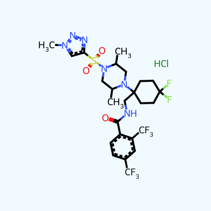 CC1CN(S(=O)(=O)c2cn(C)nn2)C(C)CN1C1(CNC(=O)c2ccc(C(F)(F)F)cc2C(F)(F)F)CCC(F)(F)CC1.Cl